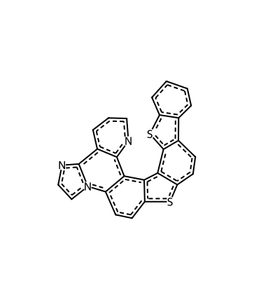 c1ccc2c(c1)sc1c2ccc2sc3ccc4c(c5ncccc5c5nccn45)c3c21